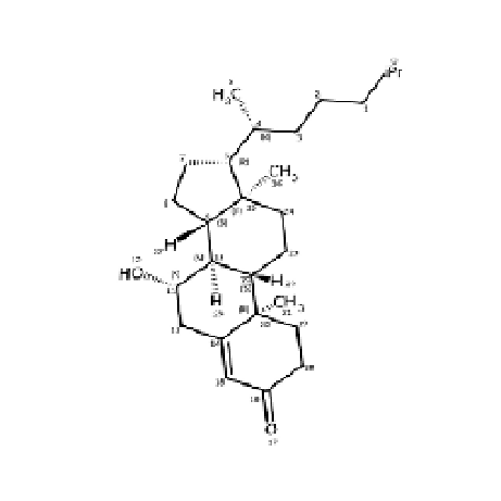 CC(C)CCC[C@@H](C)[C@H]1CC[C@H]2[C@@H]3[C@@H](O)CC4=CC(=O)CC[C@]4(C)[C@H]3CC[C@]12C